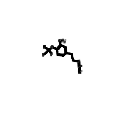 [CH2]c1cc(CCN=[N+]=[N-])ccc1OC(F)(F)F